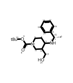 C[C@H](NC1CCN(C(=O)OC(C)(C)C)CC1CO)c1ccccc1